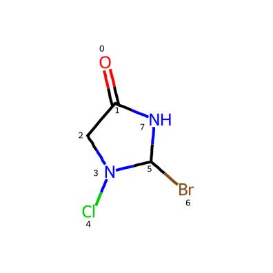 O=C1CN(Cl)C(Br)N1